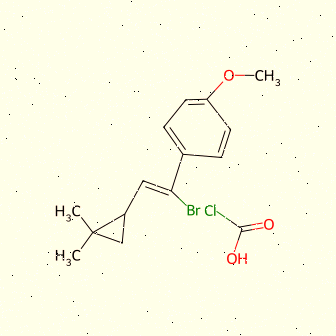 COc1ccc(C(Br)=CC2CC2(C)C)cc1.O=C(O)Cl